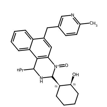 CCCC1NC([C@@H]2CCCC[C@@H]2O)[N+](=O)c2cc(Cc3ccc(C)nc3)c3ccccc3c21